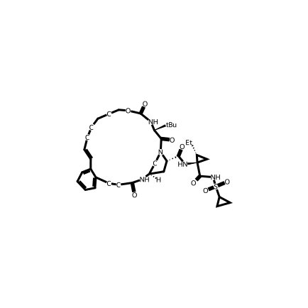 CC[C@@H]1C[C@]1(NC(=O)[C@@H]1C[C@@H]2CN1C(=O)[C@H](C(C)(C)C)NC(=O)OCCCCC/C=C/c1ccccc1CCC(=O)N2)C(=O)NS(=O)(=O)C1CC1